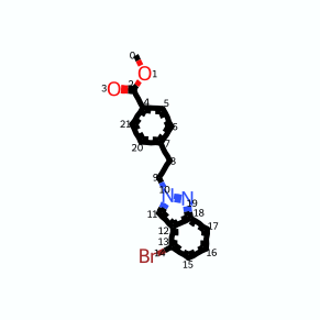 COC(=O)c1ccc(CCn2cc3c(Br)cccc3n2)cc1